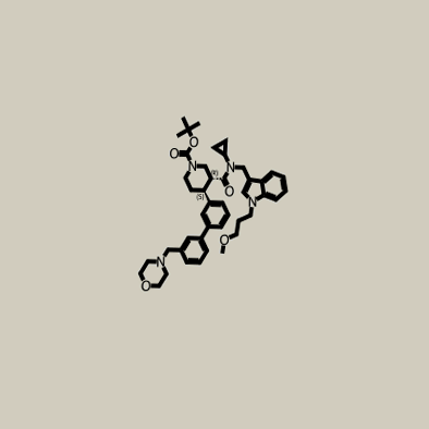 COCCCn1cc(CN(C(=O)[C@H]2CN(C(=O)OC(C)(C)C)CC[C@@H]2c2cccc(-c3cccc(CN4CCOCC4)c3)c2)C2CC2)c2ccccc21